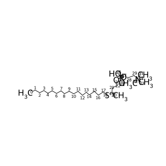 CCCCCCCCCCCCCCCCCCSC(C)CCOP(=O)(O)OCC[N+](C)(C)C